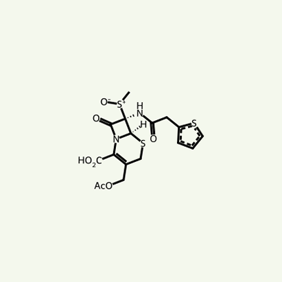 CC(=O)OCC1=C(C(=O)O)N2C(=O)[C@@](NC(=O)Cc3cccs3)([S+](C)[O-])[C@H]2SC1